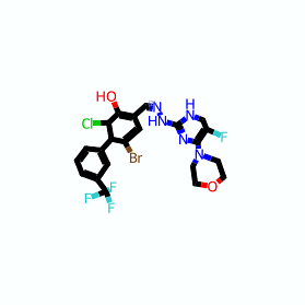 OC1=C(/C=N\NC2=NC(N3CCOCC3)=C(F)CN2)C=C(Br)C(c2cccc(C(F)(F)F)c2)C1Cl